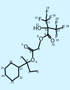 CCC(C)(OC(=O)COC(=O)C(O)(C(F)(F)F)C(F)(F)F)C1CCCCC1